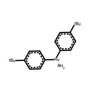 B.CC(C)(C)c1ccc(Pc2ccc(C(C)(C)C)cc2)cc1